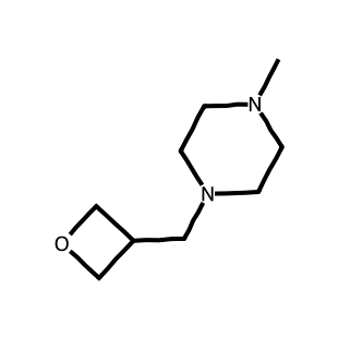 CN1CCN(CC2COC2)CC1